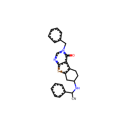 N#CC(NC1CCc2c(sc3ncn(Cc4ccccc4)c(=O)c23)C1)c1ccccc1